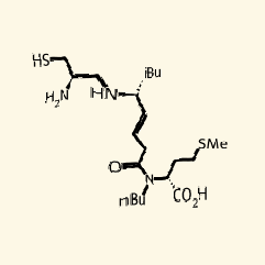 CCCCN(C(=O)C/C=C/[C@@H](NC[C@@H](N)CS)[C@@H](C)CC)[C@H](CCSC)C(=O)O